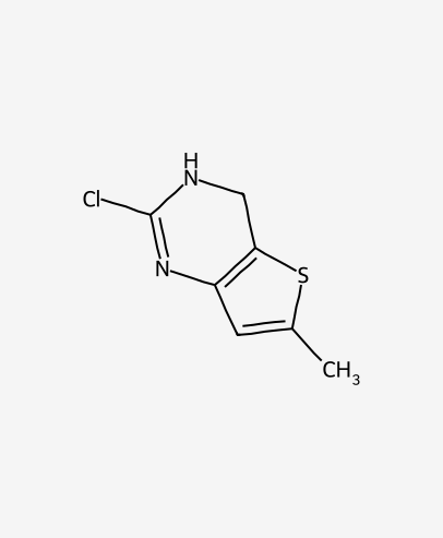 Cc1cc2c(s1)CNC(Cl)=N2